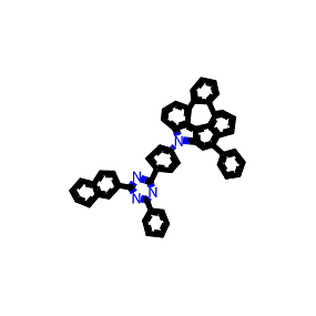 c1ccc(-c2nc(-c3ccc(-n4c5cccc6c5c5c7c(cccc7c(-c7ccccc7)cc54)-c4ccccc4-6)cc3)nc(-c3ccc4ccccc4c3)n2)cc1